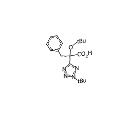 CC(C)(C)OC(Cc1ccccc1)(C(=O)O)c1nnn(C(C)(C)C)n1